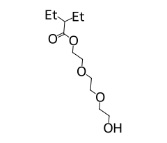 CCC(CC)C(=O)OCCOCCOCCO